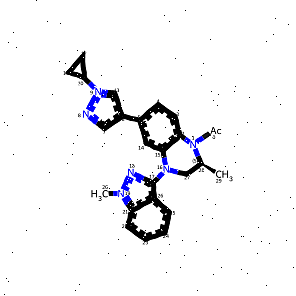 CC(=O)N1c2ccc(-c3cnn(C4CC4)c3)cc2N(c2nn(C)c3ccccc23)C[C@@H]1C